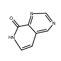 O=c1[nH]ccc2cncnc12